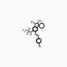 CCN1c2cc(NS(=O)(=O)C(F)(F)F)c(N=Nc3ccc(Br)cn3)cc2C2(CCCCC2)C1C